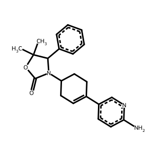 CC1(C)OC(=O)N(C2CC=C(c3ccc(N)nc3)CC2)C1c1ccccc1